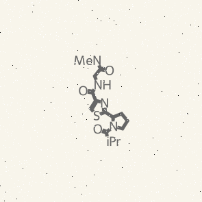 CNC(=O)CNC(=O)c1csc(C2CCCN2C(=O)C(C)C)n1